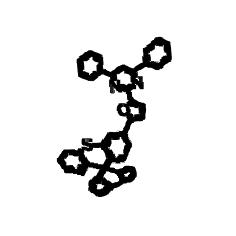 c1ccc(-c2cc(-c3ccccc3)nc(-c3ccc(-c4ccc5c(c4)Sc4ccccc4C54c5ccccc5-c5ccccc54)o3)n2)cc1